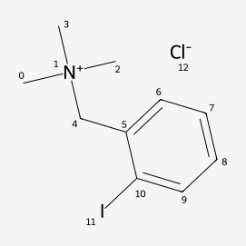 C[N+](C)(C)Cc1ccccc1I.[Cl-]